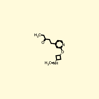 CCC(=O)CCc1ccnc(O[C@H]2C[C@@H](NC)C2)c1